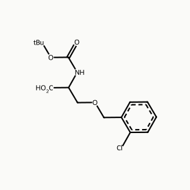 CC(C)(C)OC(=O)NC(COCc1ccccc1Cl)C(=O)O